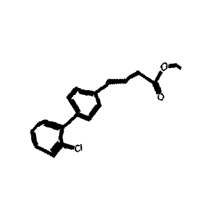 COC(=O)CCCc1ccc(-c2ccccc2Cl)cc1